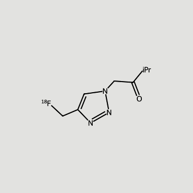 CC(C)C(=O)Cn1cc(C[18F])nn1